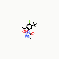 CC(O)c1cc(F)c(C(C)(C)C)cc1-n1nnn(C)c1=O